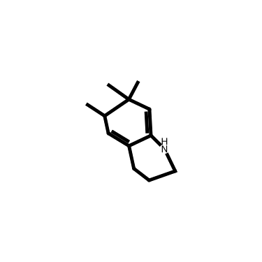 CC1C=C2CCCNC2=CC1(C)C